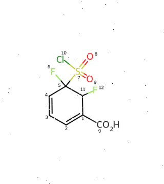 O=C(O)C1=CC=CC(F)(S(=O)(=O)Cl)C1F